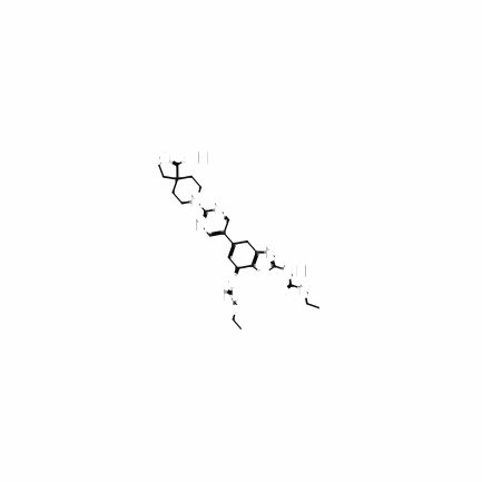 CCNC(=O)Nc1nc2c(s1)C(=C=NOCC)C=C(c1cnc(N3CCC(CC)(C(=O)O)CC3)nc1)C2